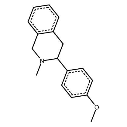 COc1ccc(C2Cc3ccccc3CN2C)cc1